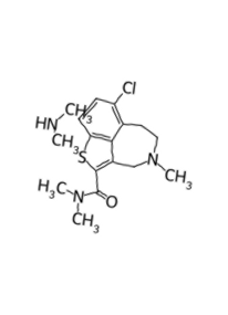 CN1CCc2c(Cl)ccc3sc(C(=O)N(C)C)c(c23)C1.CNC